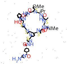 CNC(=O)C[C@@H]1NC(=O)c2csc(n2)-c2ccc(-c3nc(NC(=O)[C@H]4CC[C@H](C(=O)N5CC(N)C5)CC4)cs3)nc2-c2csc(n2)-c2csc(n2)[C@H]([C@@H](O)c2ccccc2)NC(=O)CNC(=O)c2nc(sc2COC)[C@H](C(C)C)NC(=O)c2nc1sc2C